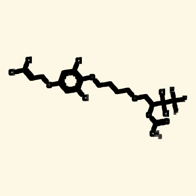 CC(=O)OC(COCCCCOc1c(Cl)cc(OCC=C(Cl)Cl)cc1Cl)C(Cl)(Cl)C(F)(F)F